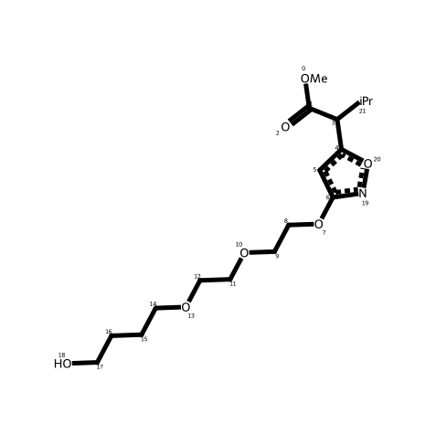 COC(=O)C(c1cc(OCCOCCOCCCCO)no1)C(C)C